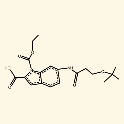 CCOC(=O)n1c(C(=O)O)cc2ccc(NC(=O)CCOC(C)(C)C)cc21